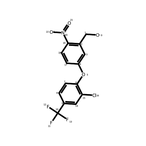 [O]Cc1cc(Oc2ccc(C(F)(F)F)cc2Cl)ccc1[N+](=O)[O-]